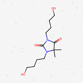 CC1(C)C(=O)N(CCCCO)C(=O)N1CCCCO